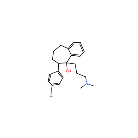 CN(C)CCCC1(O)c2ccccc2CCCC1c1ccc(Cl)cc1